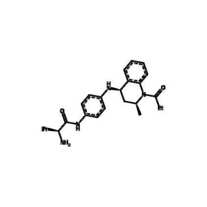 CCC(=O)N1c2ccccc2[C@H](Nc2ccc(NC(=O)[C@@H](N)C(C)C)cc2)C[C@@H]1C